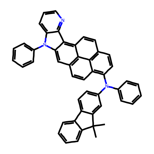 CC1(C)c2ccccc2-c2ccc(N(c3ccccc3)c3ccc4ccc5c6c(ccc3c46)cc3c5c4ncccc4n3-c3ccccc3)cc21